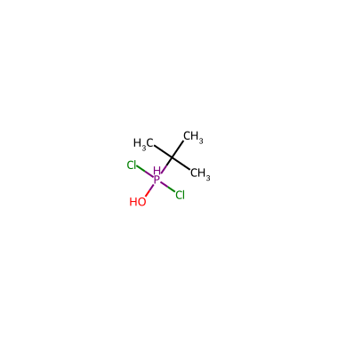 CC(C)(C)[PH](O)(Cl)Cl